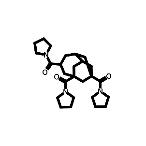 O=C(C1CC2CC3(C(=O)N4CCCC4)CC2CC(C(=O)N2CCCC2)(C1)C3)N1CCCC1